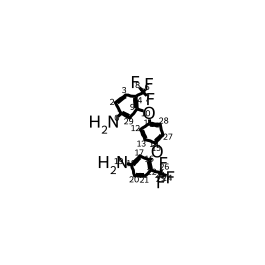 Nc1ccc(C(F)(F)F)c(Oc2ccc(Oc3cc(N)ccc3C(F)(F)F)cc2)c1